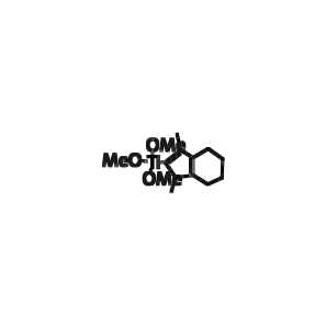 C[O][Ti]([O]C)([O]C)[C]1=C(C)C2=C(CCCC2)C1C